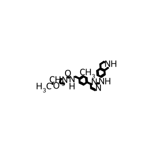 Cc1cc(-c2ccnc(Nc3ccc4c(c3)CNCC4)n2)ccc1CNC(=O)N1CC(OC(C)C)C1